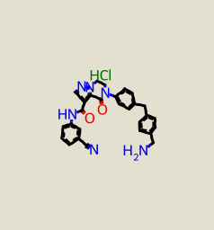 Cl.N#Cc1cccc(NC(=O)c2cnn3c2C(=O)N(c2ccc(Cc4ccc(CN)cc4)cc2)CC3)c1